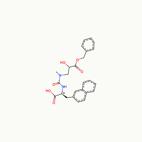 CN(CC(O)C(=O)OCc1ccccc1)C(=O)N[C@@H](Cc1ccc2ccccc2c1)C(=O)O